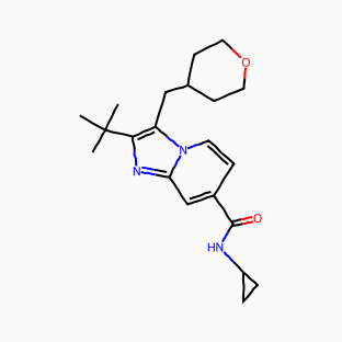 CC(C)(C)c1nc2cc(C(=O)NC3CC3)ccn2c1CC1CCOCC1